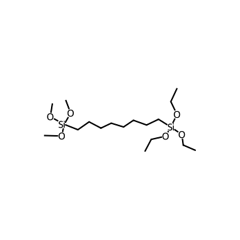 CCO[Si](CCCCCCCC[Si](OC)(OC)OC)(OCC)OCC